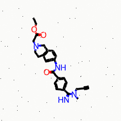 C#CCN(C)C(=N)c1ccc(C(=O)Nc2ccc3c(c2)CCN(CC(=O)OCC)C3)cc1